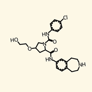 O=C(Nc1ccc2c(c1)CCNCC2)C1CC(OCCO)CN1C(=O)Nc1ccc(Cl)cc1